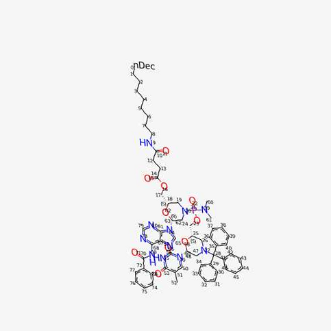 CCCCCCCCCCCCCCCCCCNC(=O)CCC(=O)OC[C@@H]1CN(P(=O)(OC[C@@H]2CN(C(c3ccccc3)(c3ccccc3)c3ccccc3)C[C@H](n3cc(C)c(=O)[nH]c3=O)O2)N(C)C)C[C@H](n2cnc3c(NC(=O)c4ccccc4)ncnc32)O1